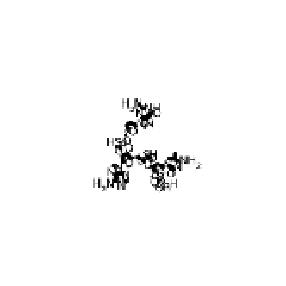 Cc1cn(C2C[C@@H](OP(=O)(S)OC[C@H]3O[C@@H](n4cnc5c(N)ncnc54)C[C@H]3OP(=O)(S)OC[C@@H]3CCC(n4cnc5c(=O)[nH]c(N)nc54)O3)[C@@H](COP(=O)(O)S)O2)c(=O)nc1N